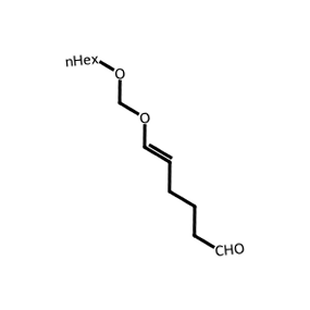 CCCCCCOCOC=CCCCC=O